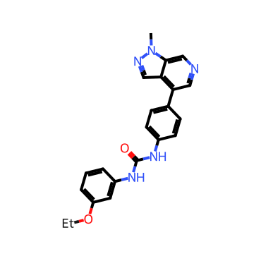 CCOc1cccc(NC(=O)Nc2ccc(-c3cncc4c3cnn4C)cc2)c1